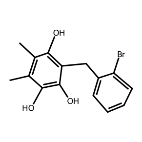 Cc1c(C)c(O)c(Cc2ccccc2Br)c(O)c1O